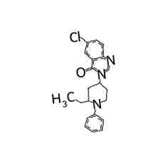 CCC1CC(n2cnc3ccc(Cl)cc3c2=O)CCN1c1ccccc1